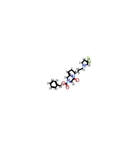 C[C@H]1C(=O)N2C(=CC[C@@H]2CCCN2CCC(F)(F)C2)CN1C(=O)OCc1ccccc1